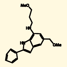 COCCCNc1cc(COC)cc2cc(-c3ccccc3)[nH]c12